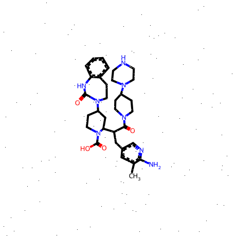 Cc1cc(CC(C(=O)N2CCC(N3CCNCC3)CC2)C2CC(N3CCc4ccccc4NC3=O)CCN2C(=O)O)cnc1N